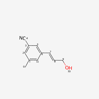 Cc1cc(C#N)cc(/C=C/CO)c1